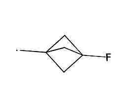 [CH2]C12CC(F)(C1)C2